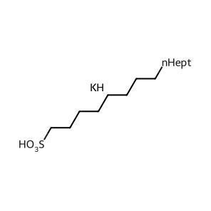 CCCCCCCCCCCCCCCS(=O)(=O)O.[KH]